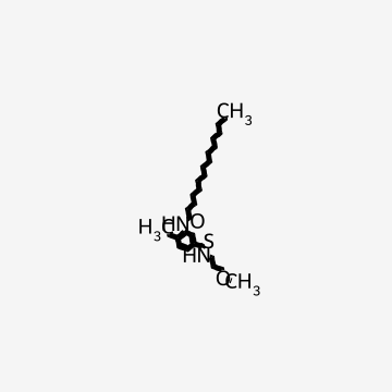 CCCCCCCCCCCCCCCC(=O)Nc1cc(C(=S)NCCCOC)ccc1CC